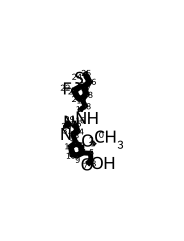 CCOc1c(CC(=O)O)cccc1-c1cc(NCCc2cc(F)c3sccc3c2)ncn1